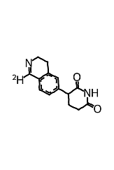 [2H]C1=NCCc2cc(C3CCC(=O)NC3=O)ccc21